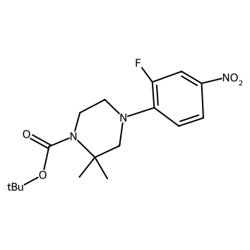 CC(C)(C)OC(=O)N1CCN(c2ccc([N+](=O)[O-])cc2F)CC1(C)C